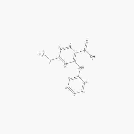 CSc1nnc(C(=O)O)c(Nc2ccccc2)n1